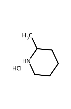 CC1CCCCN1.Cl